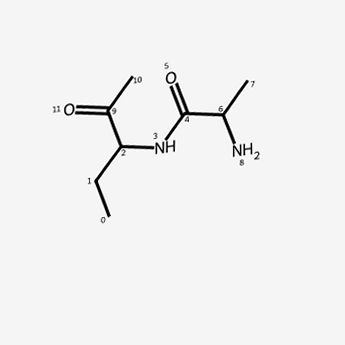 CCC(NC(=O)C(C)N)C(C)=O